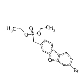 CCOP(=O)(Cc1ccc2c(c1)oc1cc(Br)ccc12)OCC